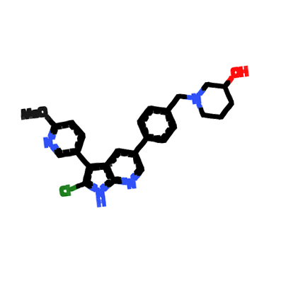 COc1ccc(-c2c(Cl)[nH]c3ncc(-c4ccc(CN5CCCC(O)C5)cc4)cc23)cn1